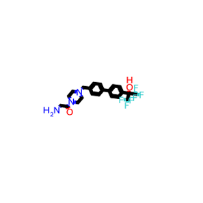 NCC(=O)N1CCN(Cc2ccc(-c3ccc(C(O)(C(F)(F)F)C(F)(F)F)cc3)cc2)CC1